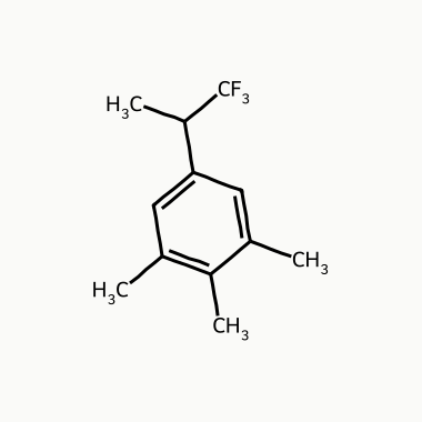 Cc1cc(C(C)C(F)(F)F)cc(C)c1C